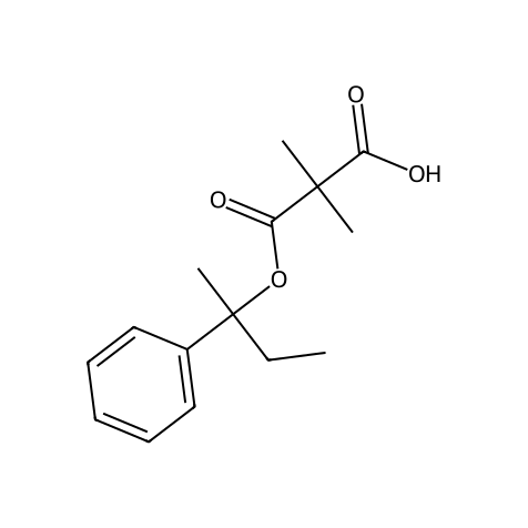 CCC(C)(OC(=O)C(C)(C)C(=O)O)c1ccccc1